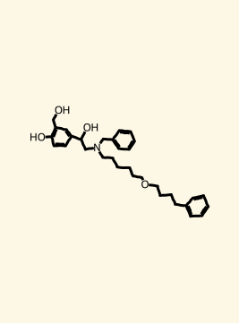 OCc1cc(C(O)CN(CCCCCCOCCCCc2ccccc2)Cc2ccccc2)ccc1O